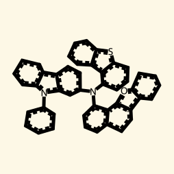 c1ccc(-n2c3ccccc3c3ccc(N(c4cccc5sc6ccccc6c45)c4cccc5ccc6c7ccccc7oc6c45)cc32)cc1